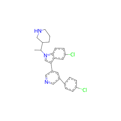 CC(C1CCCNC1)n1cc(-c2cncc(-c3ccc(Cl)cc3)c2)c2cc(Cl)ccc21